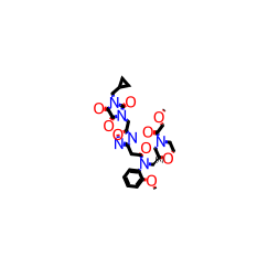 COCC(=O)N1CCO[C@@H](CN(C(=O)Cc2noc(CN3C(=O)C(=O)N(CC4CC4)C3=O)n2)c2ccccc2OC)C1